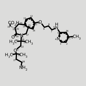 Cc1ccnc(NCCCOc2ccc3c(c2)CN(C(C)(C)COC(C)(C)CCN)C(=O)[C@H](CC(=O)O)C3)c1